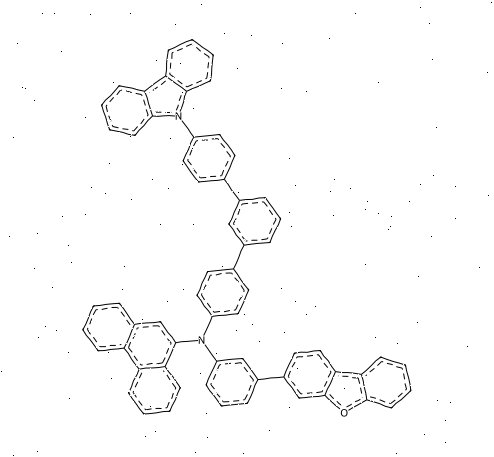 c1cc(-c2ccc(N(c3cccc(-c4ccc5c(c4)oc4ccccc45)c3)c3cc4ccccc4c4ccccc34)cc2)cc(-c2ccc(-n3c4ccccc4c4ccccc43)cc2)c1